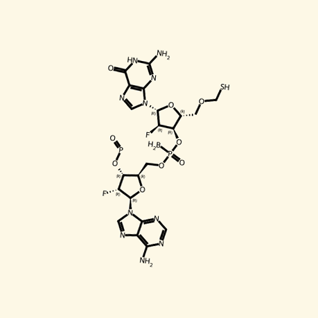 BP(=O)(OC[C@H]1O[C@@H](n2cnc3c(N)ncnc32)[C@H](F)[C@@H]1OP=O)O[C@H]1[C@@H](F)[C@H](n2cnc3c(=O)[nH]c(N)nc32)O[C@@H]1COCS